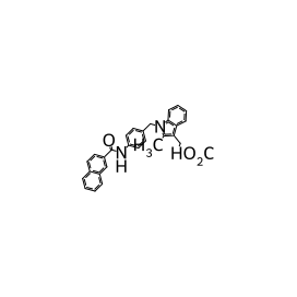 Cc1c(CC(=O)O)c2ccccc2n1Cc1ccc(NC(=O)c2ccc3ccccc3c2)cc1